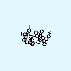 CC(C)(C)c1cccc(-c2cc3c4c(c2)N(c2ccccc2-c2ccccc2)c2ccc(-c5cc(-n6c7ccc(C(C)(C)C)cc7c7cc(C(C)(C)C)ccc76)cc(-n6c7ccccc7c7ccc8oc9ccccc9c8c76)n5)cc2B4c2cc(-c4ccccc4)ccc2N3c2ccccc2-c2ccccc2)c1